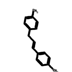 Cc1ccc(/C=C/Cc2ccc(C)cc2)cc1